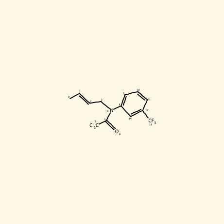 C/C=C/CN(C(=O)C(Cl)(Cl)Cl)c1cccc(C(F)(F)F)c1